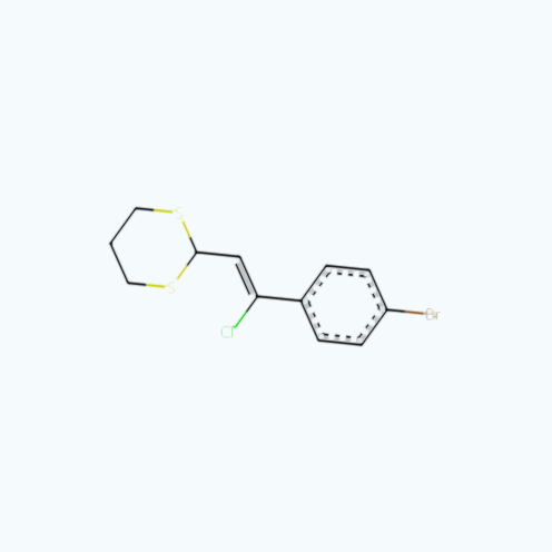 ClC(=CC1SCCCS1)c1ccc(Br)cc1